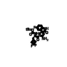 CC(C)(C)OC(=O)N[C@@H](CC1CC(F)(F)C1)C(=O)N1C[C@]2(C[C@H]1N)C(=O)Nc1ccc(F)cc12